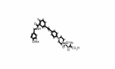 COc1ccc(CNC(=O)c2cc(C#Cc3ccc(N4CCN(S(=O)(=O)NC(C(=O)O)C(C)C)CC4)cc3)ccc2F)cc1